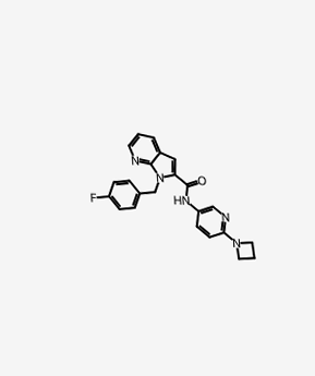 O=C(Nc1ccc(N2CCC2)nc1)c1cc2cccnc2n1Cc1ccc(F)cc1